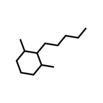 CCC[CH]CC1C(C)CCCC1C